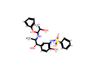 CC(O)C(NC(C)[C@H](O)c1ccc(O)c(NS(=O)(=O)c2ccccc2)c1)Oc1ccccc1